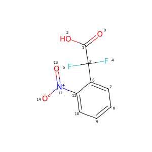 O=C(O)C(F)(F)c1ccccc1[N+](=O)[O-]